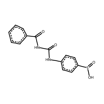 O=C(NC(=O)c1ccccc1)Nc1ccc(S(=O)O)cc1